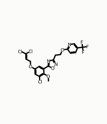 COc1c(Cl)cc(OCC=C(Cl)Cl)cc1-c1nc(CCOc2ccc(C(F)(F)F)cn2)no1